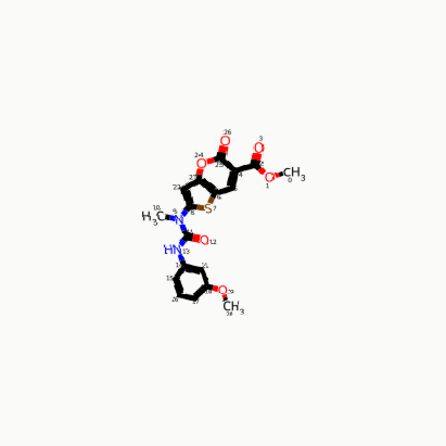 COC(=O)c1cc2sc(N(C)C(=O)Nc3cccc(OC)c3)cc2oc1=O